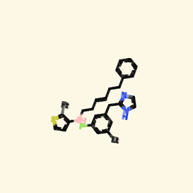 CCc1cc(F)cc(Cc2ncc[nH]2)c1.CCc1sccc1BCCC=CCCc1ccccc1